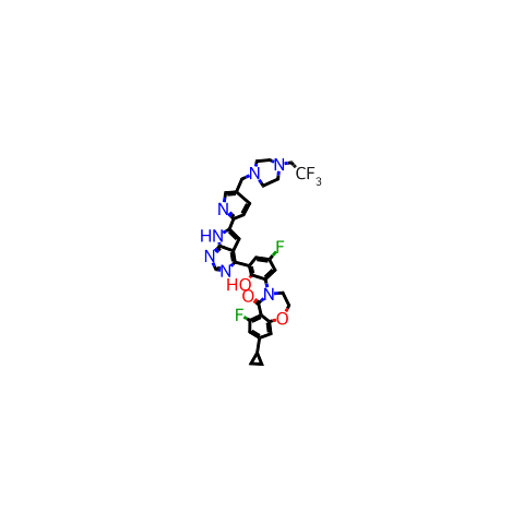 O=C1c2c(F)cc(C3CC3)cc2OCCN1c1cc(F)cc(-c2ncnc3[nH]c(-c4ccc(CN5CCN(CC(F)(F)F)CC5)cn4)cc23)c1O